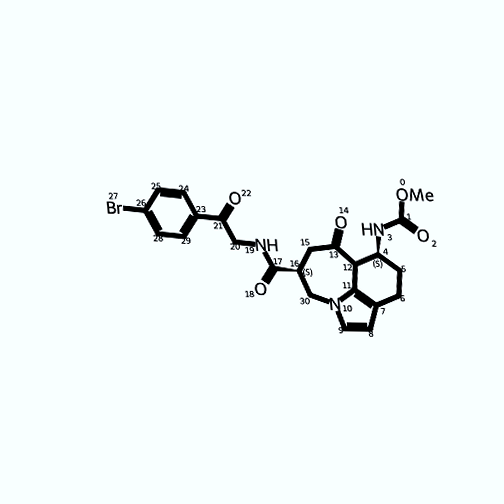 COC(=O)N[C@H]1CCc2ccn3c2C1C(=O)C[C@H](C(=O)NCC(=O)c1ccc(Br)cc1)C3